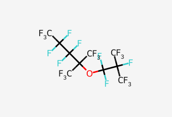 FC(F)(F)C(F)(F)C(F)(F)C(OC(F)(F)C(F)(C(F)(F)F)C(F)(F)F)(C(F)(F)F)C(F)(F)F